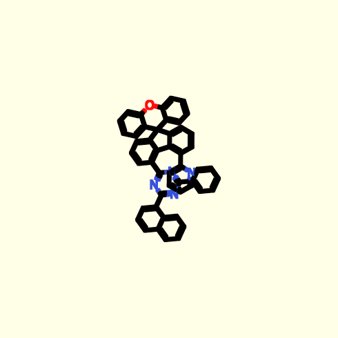 c1ccc(-c2nc(-c3cccc4c3-c3c(-c5ccccn5)cccc3C43c4ccccc4Oc4ccccc43)nc(-c3cccc4ccccc34)n2)cc1